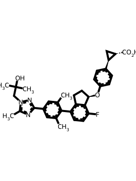 Cc1cc(-c2nc(C)n(CC(C)(C)O)n2)cc(C)c1-c1ccc(F)c2c1CC[C@H]2Oc1ccc([C@H]2C[C@@H]2C(=O)O)cc1